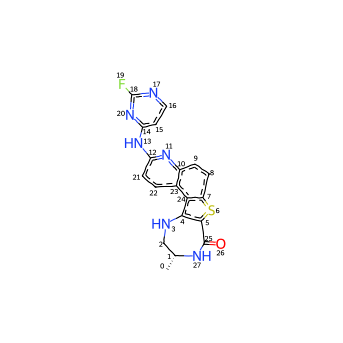 C[C@@H]1CNc2c(sc3ccc4nc(Nc5ccnc(F)n5)ccc4c23)C(=O)N1